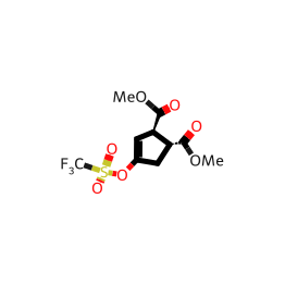 COC(=O)[C@@H]1C=C(OS(=O)(=O)C(F)(F)F)C[C@H]1C(=O)OC